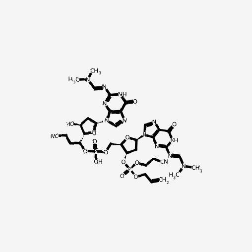 C=CCOP(=O)(OCCC#N)O[C@H]1C[C@H](n2cnc3c(=O)[nH]c(N=CN(C)C)nc32)O[C@@H]1COP(=O)(O)OC(CCC#N)[C@H]1O[C@@H](n2cnc3c(=O)[nH]c(N=CN(C)C)nc32)C[C@@H]1O